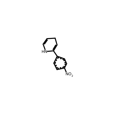 O=[N+]([O-])c1ccc(C2=CCC=CN2)cc1